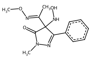 CON=C(C)C1(NO)C(=O)N(C)N=C1c1ccccc1